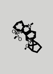 COC1(c2cccc(NS(C)(=O)=O)c2)C2CCC1CN(Cc1cn(C)c3ccccc13)C2